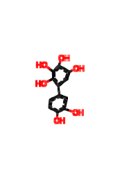 Oc1ccc(-c2cc(O)c(O)c(O)c2O)cc1O